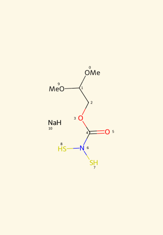 COC(COC(=O)N(S)S)OC.[NaH]